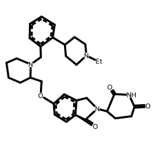 CCN1CCC(c2ccccc2CN2CCCCC2COc2ccc3c(c2)CN(C2CCC(=O)NC2=O)C3=O)CC1